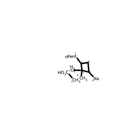 CC(=O)O.CCCCCC1C[CH]([Na])C1(C)C